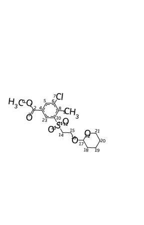 COC(=O)c1cc(Cl)c(C)c(S(=O)(=O)CCOC2CCCCO2)c1